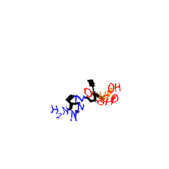 C#C[C@]1(CO[PH](=O)O)OC(n2ccc3c(N)ncnc32)C[C@@H]1O